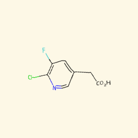 O=C(O)Cc1cnc(Cl)c(F)c1